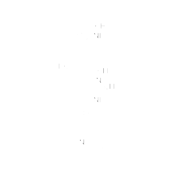 CNC(=O)c1ccc(CC(CNC(=O)CC(CC2CC2)c2cccnc2)N(C)C)c(C)c1